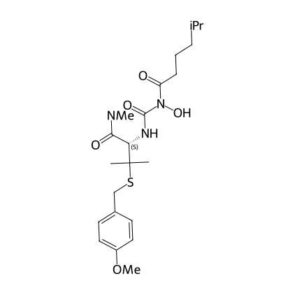 CNC(=O)[C@H](NC(=O)N(O)C(=O)CCCC(C)C)C(C)(C)SCc1ccc(OC)cc1